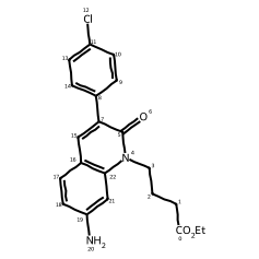 CCOC(=O)CCCn1c(=O)c(-c2ccc(Cl)cc2)cc2ccc(N)cc21